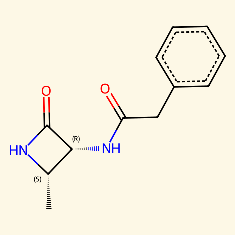 C[C@@H]1NC(=O)[C@@H]1NC(=O)Cc1ccccc1